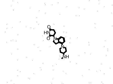 CNC1CCN(c2cccc3c2CCN3C2CCC(=O)NC2=O)CC1